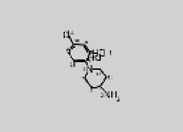 Cl.Cl.NC1CCN(c2ccc(Cl)nc2)CC1